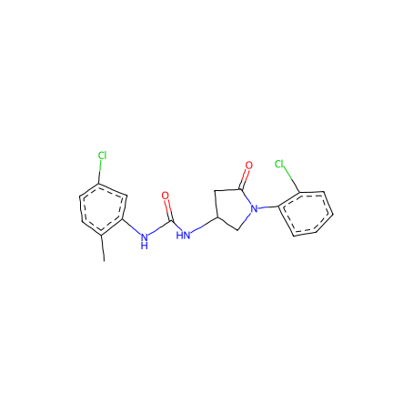 Cc1ccc(Cl)cc1NC(=O)NC1CC(=O)N(c2ccccc2Cl)C1